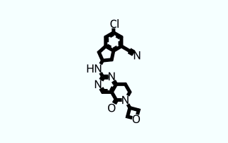 N#Cc1cc(Cl)cc2c1CC(Nc1ncc3c(n1)CCN(C1COC1)C3=O)C2